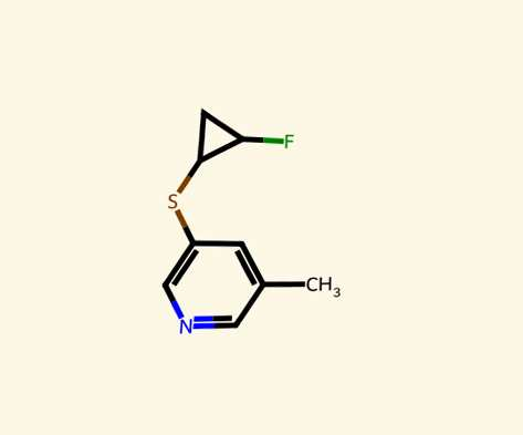 Cc1cncc(SC2CC2F)c1